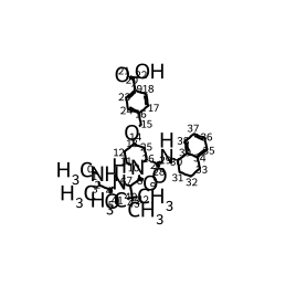 CN[C@@H](C)C(=O)NC(C(=O)N1CC[C@@H](OCc2ccc(C(=O)O)cc2)C[C@H]1C(=O)N[C@@H]1CCCc2ccccc21)C(C)(C)C